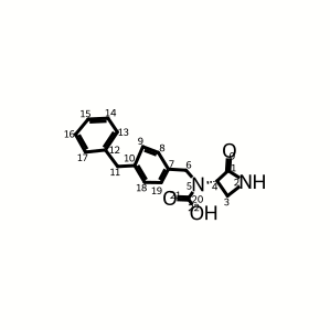 O=C1NC[C@@H]1N(Cc1ccc(Cc2ccccc2)cc1)C(=O)O